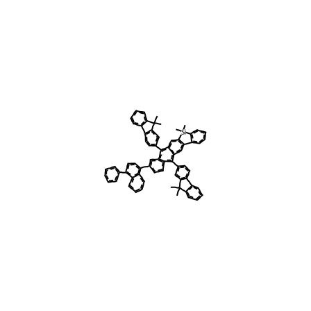 CC1(C)c2ccccc2-c2ccc(-c3c4ccc(-c5ccc(-c6ccccc6)c6ccccc56)cc4c(-c4ccc5c(c4)C(C)(C)c4ccccc4-5)c4cc5c(cc34)-c3ccccc3[Si]5(C)C)cc21